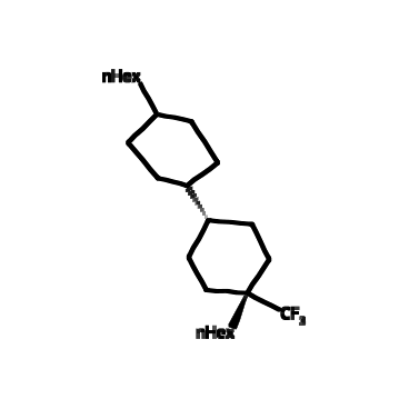 CCCCCCC1CCC([C@H]2CC[C@@](CCCCCC)(C(F)(F)F)CC2)CC1